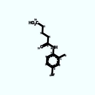 Cc1cc(Br)ccc1NC(=O)CCCC(=O)O